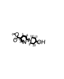 COC(=O)c1ccc(N2CCC(O)CC2)nc1